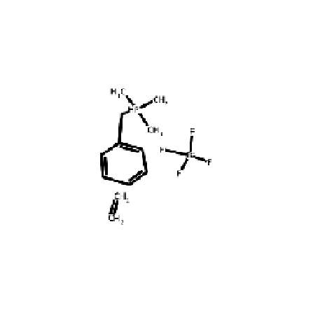 C=C.C[PH](C)(C)Cc1ccccc1.F[B-](F)(F)F